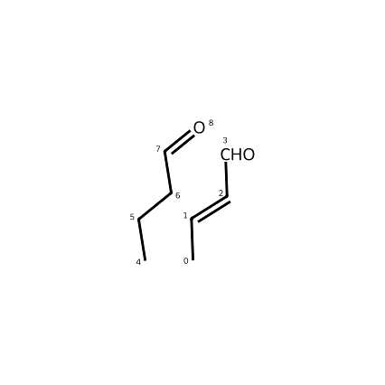 CC=CC=O.CCCC=O